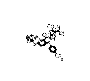 CCC(C(=O)O)c1csc(NC(=O)c2nc(Sc3nncn3C)ccc2Sc2ccc(C(F)(F)F)cc2)n1